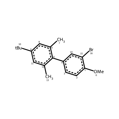 COc1ccc(-c2c(C)cc(C(C)(C)C)cc2C)cc1Br